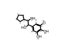 NC(C1CCCC1)C(O)c1cc(O)c(O)c(Cl)c1